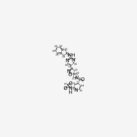 CS(=O)(=O)Nc1cc(C(=O)N2CC3(CC(c4cnc(NC5Cc6ccccc6C5)nc4)=NO3)C2)ccn1